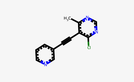 Cc1ncnc(Cl)c1C#Cc1cccnc1